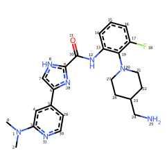 CN(C)c1cc(-c2c[nH]c(C(=O)Nc3cccc(F)c3N3CCC(CN)CC3)n2)ccn1